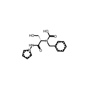 O=C(Nn1cccc1)[C@H](CO)N(Cc1ccccc1)C(=O)O